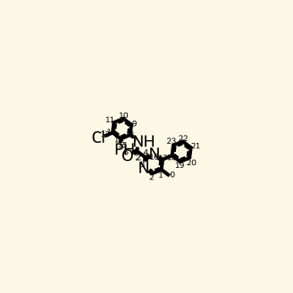 Cc1cnc(C(=O)Nc2cccc(Cl)c2P)nc1-c1ccccc1